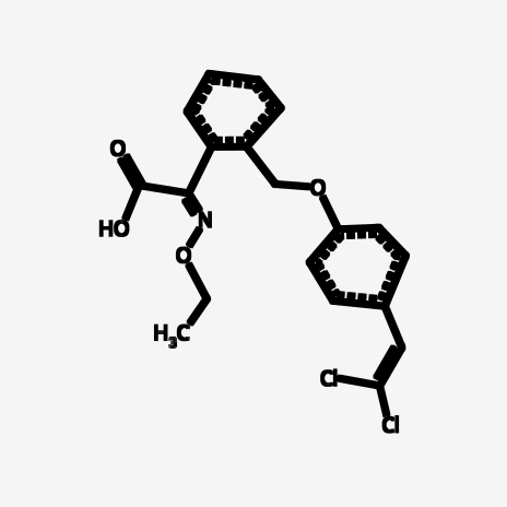 CCON=C(C(=O)O)c1ccccc1COc1ccc(C=C(Cl)Cl)cc1